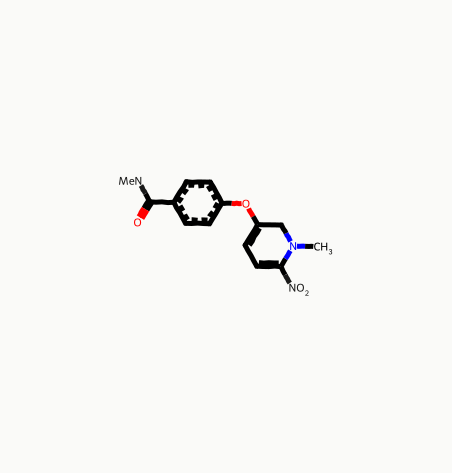 CNC(=O)c1ccc(OC2=CC=C([N+](=O)[O-])N(C)C2)cc1